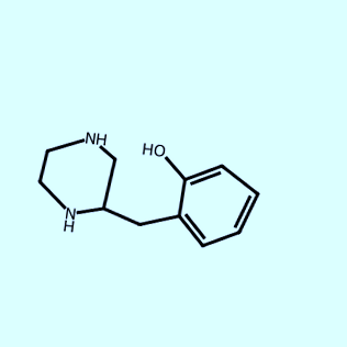 Oc1ccccc1CC1CNCCN1